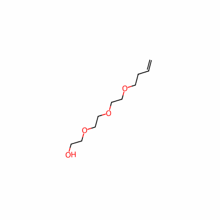 C=CCCOCCOCCOCCO